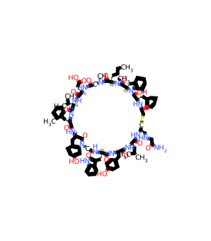 CCCC[C@H]1C(=O)N(C)CC(=O)N[C@@H](CC(=O)O)C(=O)N[C@@H](C(C)C)C(=O)N[C@@H](Cc2ccccc2C)C(=O)N[C@H]2Cc3ccc(O)cc3N(CC(=O)N[C@@H](Cc3c[nH]c4ccccc34)C(=O)NC(Cc3ccc(O)cc3)C(=O)N[C@@H](CC(C)C)C(=O)N[C@H](CNCC(N)=O)CSCC(=O)N[C@@H](Cc3ccccc3)C(O)N(C)[C@@H](Cc3ccccc3)C(=O)N1C)C2=O